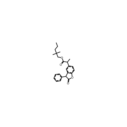 CCCC(C)(C)COC(=O)C(C)c1ccc2c(c1)C(c1ccccc1)C(=O)O2